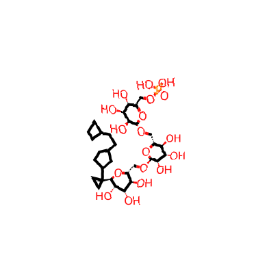 O=P(O)(O)OC[C@H]1O[C@H](OC[C@H]2O[C@H](OC[C@H]3O[C@H](C4(C5CCC(CCC6CCC6)C5)CC4)[C@@H](O)[C@@H](O)[C@@H]3O)[C@@H](O)[C@@H](O)[C@@H]2O)[C@@H](O)[C@@H](O)[C@@H]1O